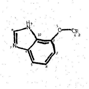 FC(F)(F)Oc1cccc2nc[nH]c12